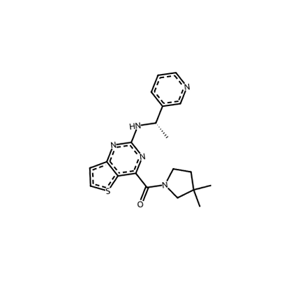 C[C@H](Nc1nc(C(=O)N2CCC(C)(C)C2)c2sccc2n1)c1cccnc1